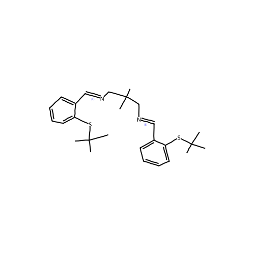 CC(C)(C/N=C/c1ccccc1SC(C)(C)C)C/N=C/c1ccccc1SC(C)(C)C